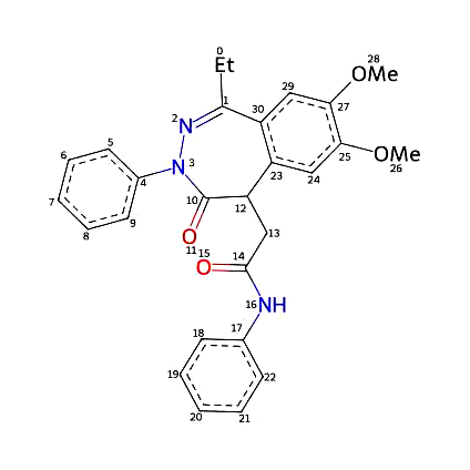 CCC1=NN(c2ccccc2)C(=O)C(CC(=O)Nc2ccccc2)c2cc(OC)c(OC)cc21